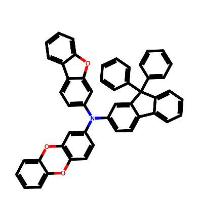 c1ccc(C2(c3ccccc3)c3ccccc3-c3ccc(N(c4ccc5c(c4)Oc4ccccc4O5)c4ccc5c(c4)oc4ccccc45)cc32)cc1